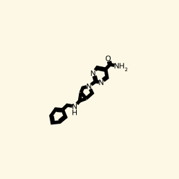 NC(=O)c1cnc(N2CC3C(C2)C3NCc2ccccc2)nc1